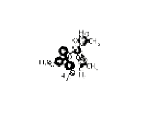 COc1ccc(C(OC[C@H]2O[C@H](n3cc(C)c(=O)[nH]c3=O)C[C@@H]2OP2(=S)OC(C)C(C)S2)(c2ccccc2)c2ccc(OC)cc2)cc1